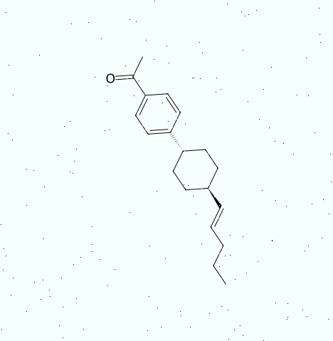 CCC/C=C/[C@H]1CC[C@H](c2ccc(C(C)=O)cc2)CC1